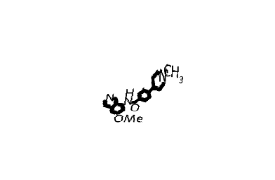 COc1cc(NC(=O)c2ccc(C3CCN(C)CC3)cc2)c2cnccc2c1